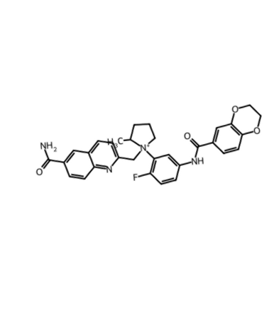 CC1CCC[N+]1(Cc1ccc2cc(C(N)=O)ccc2n1)c1cc(NC(=O)c2ccc3c(c2)OCCO3)ccc1F